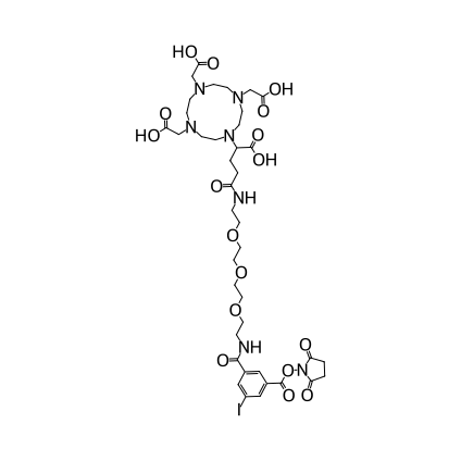 O=C(O)CN1CCN(CC(=O)O)CCN(C(CCC(=O)NCCOCCOCCOCCNC(=O)c2cc(I)cc(C(=O)ON3C(=O)CCC3=O)c2)C(=O)O)CCN(CC(=O)O)CC1